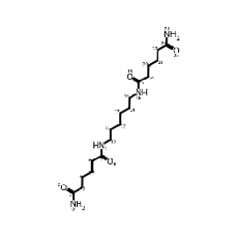 NC(=O)CCCCC(=O)NCCCCCCNC(=O)CCCCC(N)=O